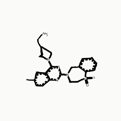 Cc1ccc2nc(N3CCS(=O)(=O)c4ccccc4C3)nc(N3CC(CN)C3)c2c1